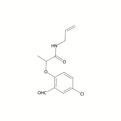 C=CCNC(=O)C(C)Oc1ccc(Cl)cc1C=O